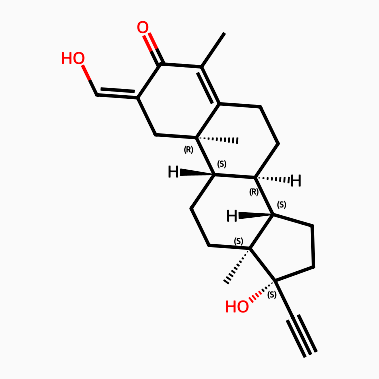 C#C[C@]1(O)CC[C@H]2[C@@H]3CCC4=C(C)C(=O)C(=CO)C[C@]4(C)[C@H]3CC[C@@]21C